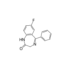 O=C1CN=C(c2ccccc2)c2cc(F)ccc2N1